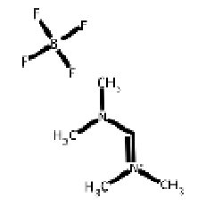 CN(C)C=[N+](C)C.F[B-](F)(F)F